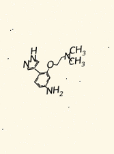 CN(C)CCOc1cc(N)ccc1-c1cn[nH]c1